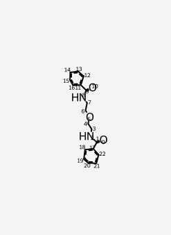 O=C(NCCOCCNC(=O)c1ccccc1)c1ccccc1